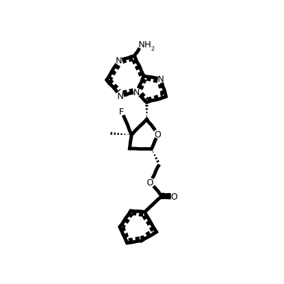 C[C@@]1(F)C[C@@H](COC(=O)c2ccccc2)O[C@H]1c1cnc2c(N)ncnn12